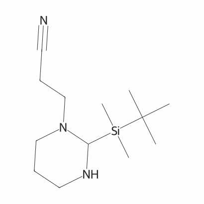 CC(C)(C)[Si](C)(C)C1NCCCN1CCC#N